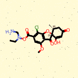 CCN(CN)OC(=O)c1cc(OC)c2c(c1Cl)O[C@]1(C2=O)C(O)=CC(=O)C[C@H]1C